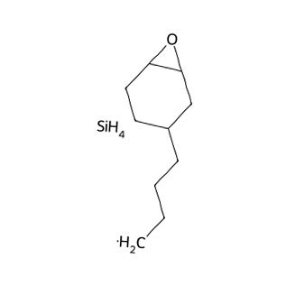 [CH2]CCCC1CCC2OC2C1.[SiH4]